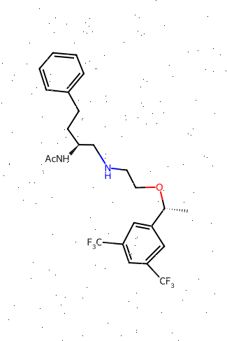 CC(=O)N[C@@H](CCc1ccccc1)CNCCO[C@H](C)c1cc(C(F)(F)F)cc(C(F)(F)F)c1